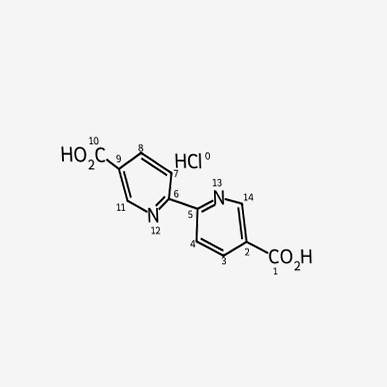 Cl.O=C(O)c1ccc(-c2ccc(C(=O)O)cn2)nc1